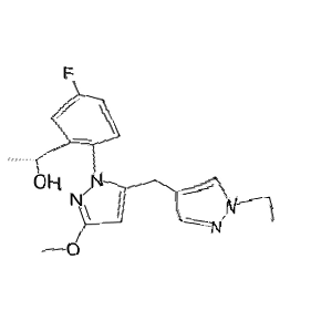 CCn1cc(Cc2cc(OC)nn2-c2ccc(F)cc2[C@@H](C)O)cn1